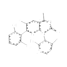 Cc1ccnc(C(C)C)c1-n1c(=O)nc(C)c2cc(F)c(-c3c(O)cccc3F)nc21